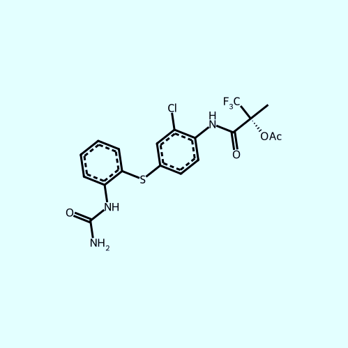 CC(=O)O[C@](C)(C(=O)Nc1ccc(Sc2ccccc2NC(N)=O)cc1Cl)C(F)(F)F